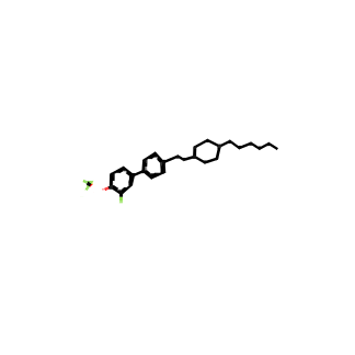 CCCCCCC1CCC(CCc2ccc(-c3ccc(OC(F)(F)F)c(F)c3)cc2)CC1